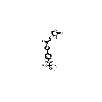 CC(C)(C)S(=O)(=O)c1ccc(C2CN(C(=O)CC[C@@H]3COC(=O)N3)C2)cn1